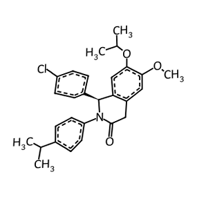 COc1cc2c(cc1OC(C)C)[C@H](c1ccc(Cl)cc1)N(c1ccc(C(C)C)cc1)C(=O)C2